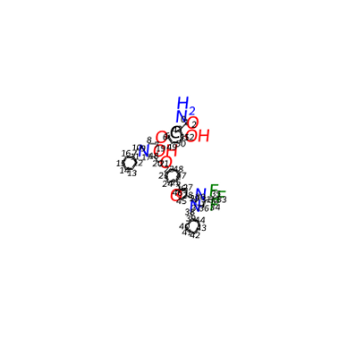 NC(=O)c1cc(OCCN(Cc2ccccc2)CC(O)COc2ccc(-c3cc(-c4nc(C(F)(F)F)cn4Cc4ccccc4)co3)cc2)ccc1O